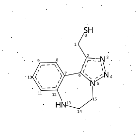 SCc1nnn2c1-c1ccccc1NCC2